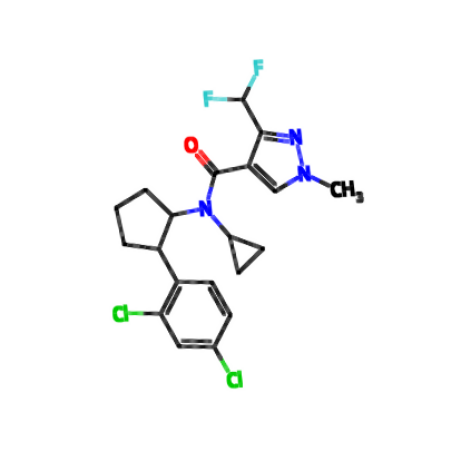 Cn1cc(C(=O)N(C2CC2)C2CCCC2c2ccc(Cl)cc2Cl)c(C(F)F)n1